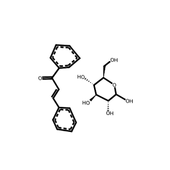 O=C(C=Cc1ccccc1)c1ccccc1.OC[C@H]1OC(O)[C@H](O)[C@@H](O)[C@@H]1O